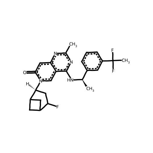 Cc1nc(N[C@H](C)c2cccc(C(C)(F)F)c2)c2cn([C@H]3CC(F)C4CC3C4)c(=O)cc2n1